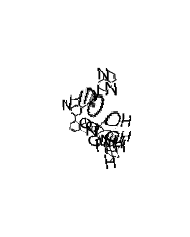 COc1c(CN2O[C@@H](CO)[C@@H]([C@H](C)O)[C@H]2C(=O)N[C@H]2C[C@H]3C[C@@H]([C@@H]2C)C3(C)C)cccc1-c1cc(C(=O)N[C@H](Cc2ccccn2)CN(C)C)cc(N(C)C)c1